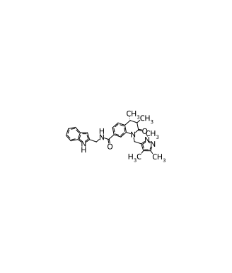 Cc1nn(C)c(CN2C(=O)C(C)[C@@H](C)c3ccc(C(=O)NCc4cc5ccccc5[nH]4)cc32)c1C